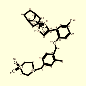 Cc1cc(CN2CCS(=O)(=O)CC2)ccc1COc1ccc(F)cc1-c1csc(N2C3CCC2CC(C(=O)O)C3)n1